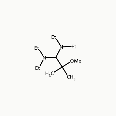 CCN(CC)C(N(CC)CC)C(C)(C)OC